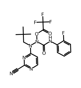 CC(C)(C)CN(c1ccnc(C#N)n1)N(OC(=O)C(F)(F)F)C(=O)Nc1ccccc1F